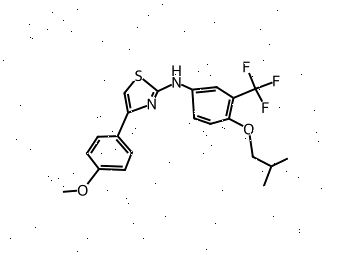 COc1ccc(-c2csc(Nc3ccc(OCC(C)C)c(C(F)(F)F)c3)n2)cc1